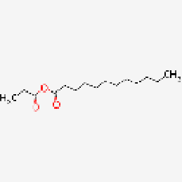 CCCCCCCCCCCC(=O)OC(=O)CC